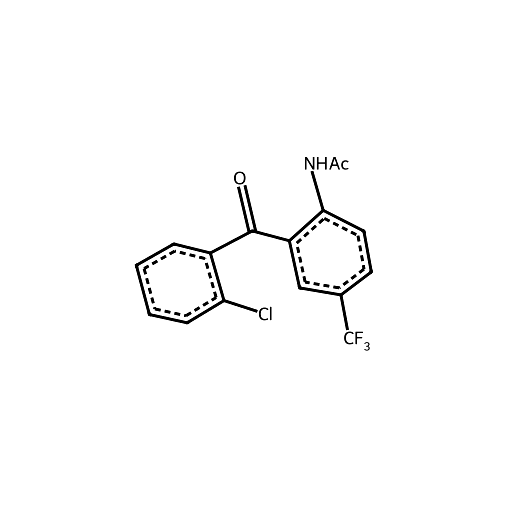 CC(=O)Nc1ccc(C(F)(F)F)cc1C(=O)c1ccccc1Cl